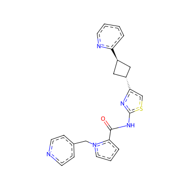 O=C(Nc1nc([C@H]2C[C@H](c3ccccn3)C2)cs1)c1cccn1Cc1ccncc1